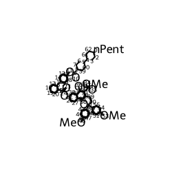 CCCCC[C@H]1CC[C@H]([C@H]2CC[C@H](C(=O)Oc3ccc(-c4ccccc4C(=O)Oc4ccc5c6c(c(C(=O)OC)c(O)c5c4)C=CC(c4ccc(OC)cc4)(c4ccc(OC)cc4)O6)cc3)CC2)CC1